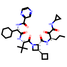 CCC[C@@H](NC(=O)[C@@H]1[C@@H](C2CCC2)CN1C(=O)[C@@H](NC(=O)[C@@H](NC(=O)c1cnccn1)C1CCCCC1)C(C)(C)C)C(=O)C(=O)NC1CC1